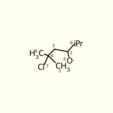 CC(C)C([O])CC(C)(C)Cl